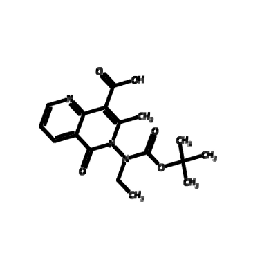 CCN(C(=O)OC(C)(C)C)n1c(C)c(C(=O)O)c2ncccc2c1=O